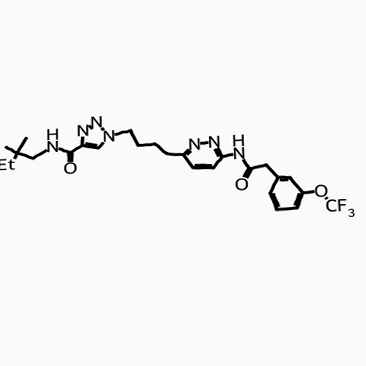 CCC(C)(C)CNC(=O)c1cn(CCCCc2ccc(NC(=O)Cc3cccc(OC(F)(F)F)c3)nn2)nn1